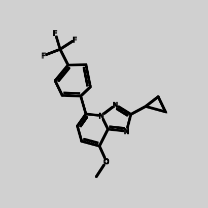 COc1ccc(-c2ccc(C(F)(F)F)cc2)n2nc(C3CC3)nc12